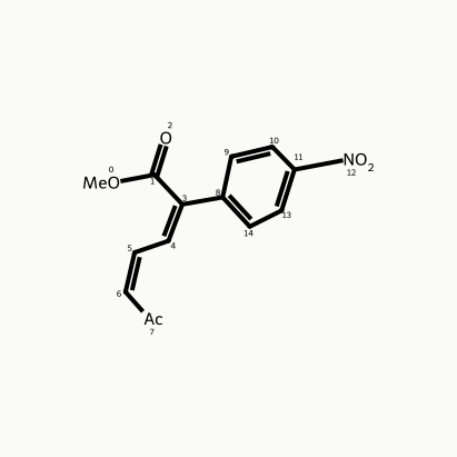 COC(=O)/C(=C\C=C/C(C)=O)c1ccc([N+](=O)[O-])cc1